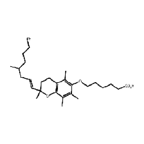 Cc1c(C)c2c(c(C)c1OCCCCCC(=O)O)CCC(C)(C=CCC(C)CCCC(C)C)O2